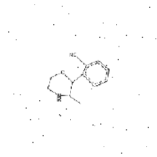 CC1NCCOC1c1ccccc1C#N